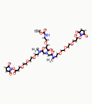 CN(CCOCCOCCOCCC(=O)ON1C(=O)CCC1=O)C(=O)CN(CC(=O)N(C)CCOCCOCCOCCC(=O)ON1C(=O)CCC1=O)C(=O)CCOCCNC(=O)OC(C)(C)C